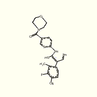 Cc1c(/C(C=N)=C(\O)Nc2ccc(C(=O)N3CCOCC3)cn2)ccc(C#N)c1F